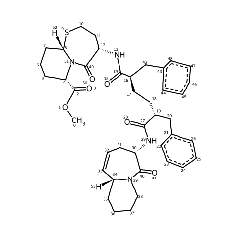 COC(=O)[C@@H]1CCC[C@@H]2SCC[C@H](NC(=O)[C@H](CC[C@H](Cc3ccccc3)C(=O)N[C@H]3CC=C[C@H]4CCCCN4C3=O)Cc3ccccc3)C(=O)N21